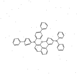 c1ccc(-c2ccc(N(c3ccc(-c4ccccc4)cc3)c3ccc4cccc5c4c3Oc3ccc(N(c4ccccc4)c4ccccc4)cc3-5)cc2)cc1